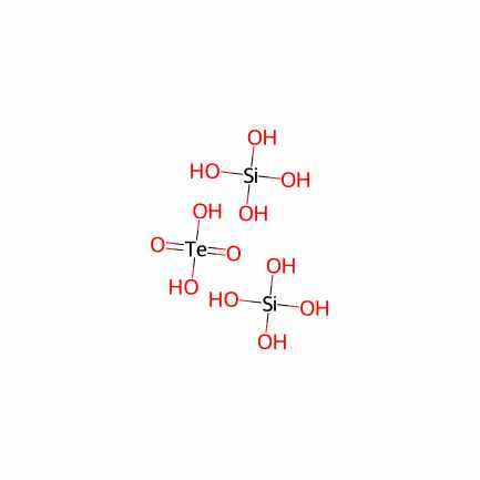 O=[Te](=O)(O)O.O[Si](O)(O)O.O[Si](O)(O)O